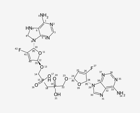 Nc1ncnc2c1NCN2[C@@H]1O[C@@H](OCP(=O)(O)CP(=O)(O)CO[C@@H]2C=C(F)[C@H](n3cnc4c(N)ncnc43)O2)C=C1F